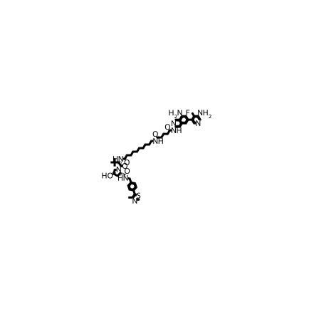 Cc1ncsc1-c1ccc(CNC(=O)[C@@H]2C[C@@H](O)CN2C(=O)[C@@H](NC(=O)CCCCCCCCCNC(=O)CCCC(=O)Nc2cc3cc(-c4cncc(N)c4C)c(F)c(N)c3cn2)C(C)(C)C)cc1